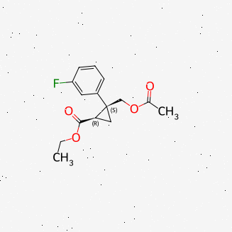 CCOC(=O)[C@@H]1C[C@@]1(COC(C)=O)c1cccc(F)c1